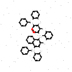 c1ccc(N2c3ccccc3Sc3c4c(c5ccccc5c32)B2c3c(cccc3Oc3c5c(c6ccccc6c32)N(c2ccccc2)c2ccccc2S5)O4)cc1